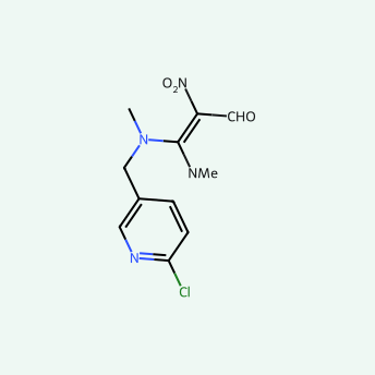 CN/C(=C(\C=O)[N+](=O)[O-])N(C)Cc1ccc(Cl)nc1